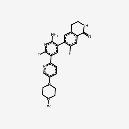 CC(=O)N1CCN(c2ccc(-c3cc(-c4cc5c(cc4F)C(=O)NCC5)c(N)nc3F)nc2)CC1